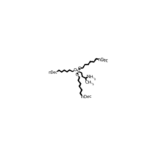 CCCCCCCCCCCCCCCCO[Si](CCC(C)N)(OCCCCCCCCCCCCCCCC)OCCCCCCCCCCCCCCCC